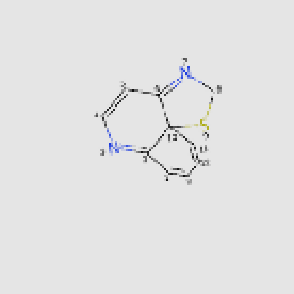 C1=CC2=NC=CC3=NCSC23C=C1